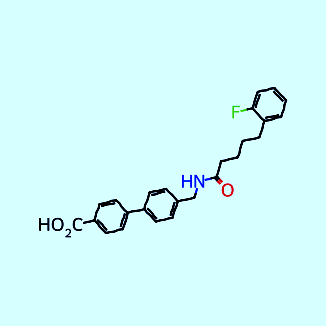 O=C(CCCCc1ccccc1F)NCc1ccc(-c2ccc(C(=O)O)cc2)cc1